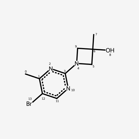 Cc1nc(N2CC(C)(O)C2)ncc1Br